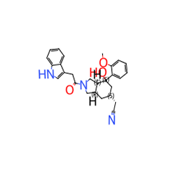 COc1ccccc1[C@]1(O)C[C@H](CC#N)C[C@H]2CN(C(=O)Cc3c[nH]c4ccccc34)C[C@H]21